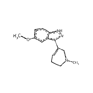 COc1ccc2[nH]nc(C3=CCCN(C)C3)c2c1